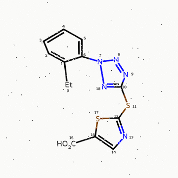 CCc1ccccc1-n1nnc(Sc2ncc(C(=O)O)s2)n1